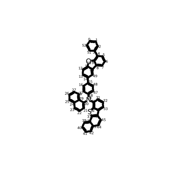 c1ccc(-c2cccc3c2oc2ccc(-c4ccc(N(c5cccc6ccccc56)c5cccc6c5sc5c7ccccc7ccc65)cc4)cc23)cc1